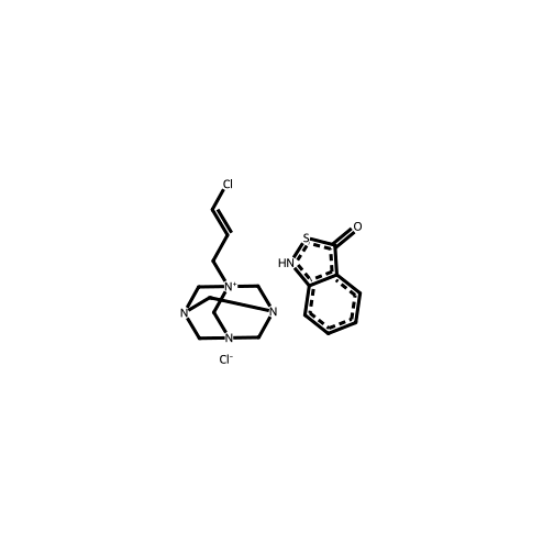 ClC=CC[N+]12CN3CN(CN(C3)C1)C2.O=c1s[nH]c2ccccc12.[Cl-]